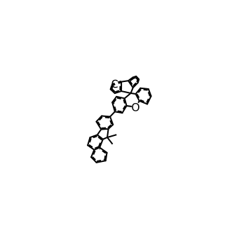 CC1(C)c2cc(-c3ccc4c(c3)Oc3ccccc3C43c4ccccc4-c4ccccc43)ccc2-c2ccc3ccccc3c21